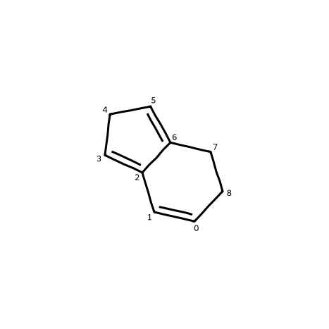 C1=CC2=CCC=C2CC1